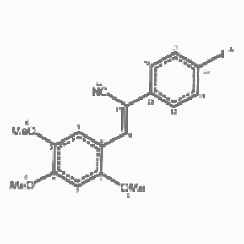 COc1cc(OC)c(OC)cc1/C=C(\C#N)c1ccc(I)cc1